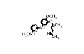 CNCC[C@@H](C)Oc1cc(Nc2nccc(NC)n2)ccc1OC